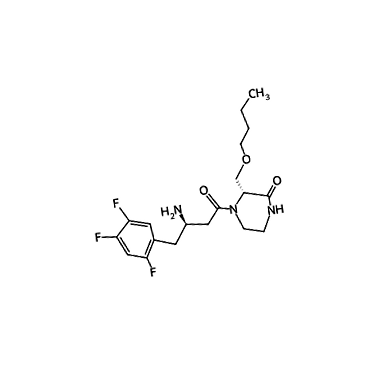 CCCCOC[C@@H]1C(=O)NCCN1C(=O)C[C@H](N)Cc1cc(F)c(F)cc1F